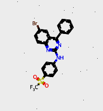 O=S(=O)(c1ccc(Nc2nc(-c3ccccc3)c3cc(Br)ccc3n2)cc1)C(F)(F)F